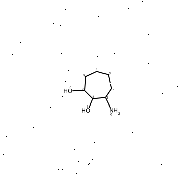 NC1CCCCC(O)C1O